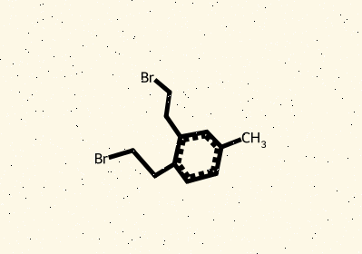 Cc1ccc(CCBr)c(CCBr)c1